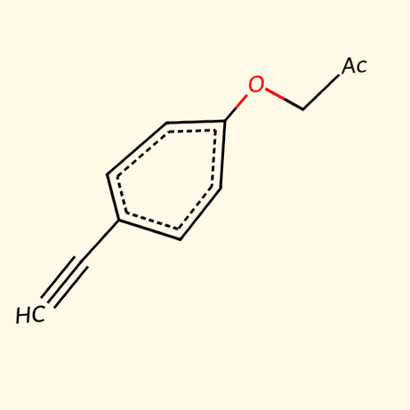 C#Cc1ccc(OCC(C)=O)cc1